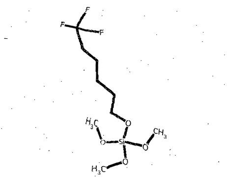 CO[Si](OC)(OC)OCCCCCC(F)(F)F